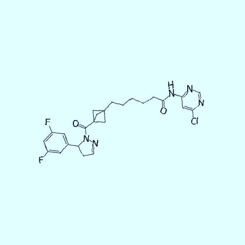 O=C(CCCCCC12CC(C(=O)N3N=CCC3c3cc(F)cc(F)c3)(C1)C2)Nc1cc(Cl)ncn1